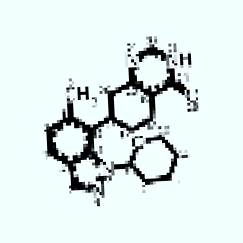 Cc1ccc2cnn(C3CCCCO3)c2c1C1CCc2c(nc[nH]c2=O)C1